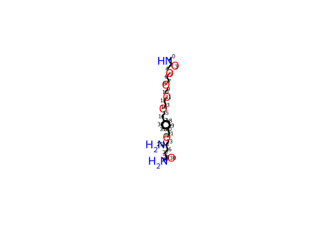 CNC(=O)COCCOCCOCCOCCc1ccc(COC[C@@H](N)CCC(N)=O)cc1